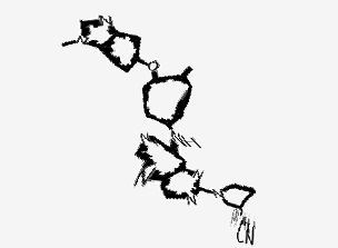 Cc1cc(Nc2ncnc3cnc(N4CC[C@H](C#N)C4)nc23)ccc1Oc1ccc2c(c1)ncn2C